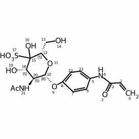 C=CC(=O)Nc1ccc(O[C@H]2O[C@@H](CO)C(O)(S(=O)(=O)O)[C@@H](O)[C@@H]2NC(C)=O)cc1